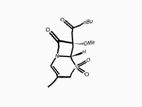 CCCCC(=O)[C@]1(OC)C(=O)N2C=C(C)CS(=O)(=O)[C@H]21